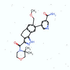 COCc1cc2c(cc1-c1cncc(C(N)=O)c1)-c1[nH]nc(C(=O)N3CCOCC3(C)C)c1CC2